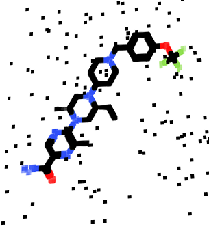 CC[C@H]1CN(c2ncc(C(N)=O)nc2C)[C@H](C)CN1C1CCN(Cc2ccc(OC(F)(F)F)cc2)CC1